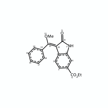 CCOC(=O)c1ccc2c(c1)NC(=O)/C2=C(\OC)c1ccccc1